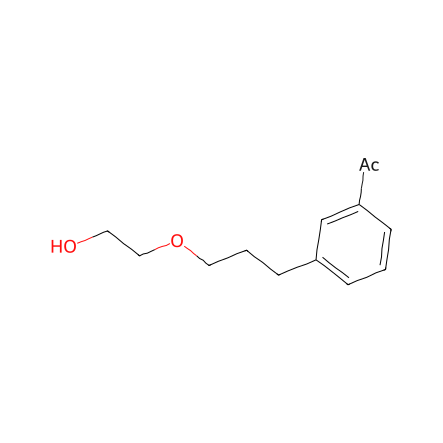 CC(=O)c1cccc(CCCOCCO)c1